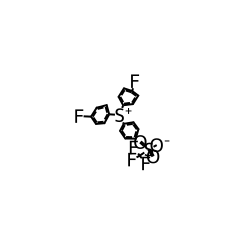 Fc1ccc([S+](c2ccccc2)c2ccc(F)cc2)cc1.O=S(=O)([O-])C(F)(F)F